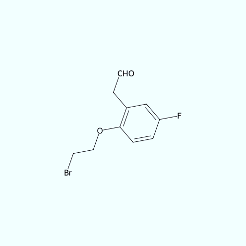 O=CCc1cc(F)ccc1OCCBr